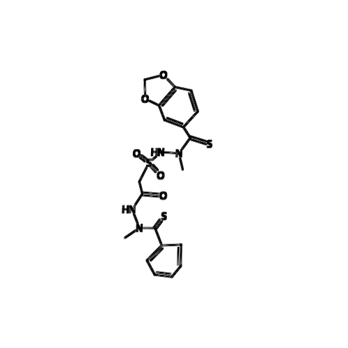 CN(NC(=O)CS(=O)(=O)NN(C)C(=S)c1ccc2c(c1)OCO2)C(=S)c1ccccc1